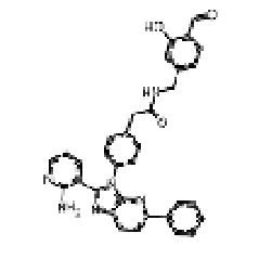 Nc1ncccc1-c1nc2ccc(-c3ccccc3)nc2n1-c1ccc(CC(=O)NCc2ccc(C=O)c(O)c2)cc1